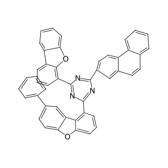 c1ccc(-c2ccc3oc4cccc(-c5nc(-c6ccc7c(ccc8ccccc87)c6)nc(-c6cccc7c6oc6ccccc67)n5)c4c3c2)cc1